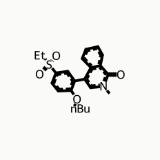 CCCCOc1ccc(S(=O)(=O)CC)cc1-c1cn(C)c(=O)c2ccccc12